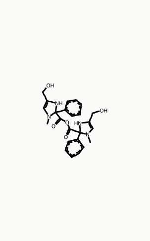 CN1C=C(CO)NC1(C(=O)OC(=O)C1(c2ccccc2)NC(CO)=CN1C)c1ccccc1